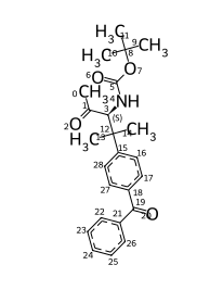 CC(=O)[C@@H](NC(=O)OC(C)(C)C)C(C)(C)c1ccc(C(=O)c2ccccc2)cc1